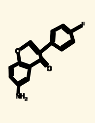 Nc1ccc2occ(-c3ccc(F)cc3)c(=O)c2c1